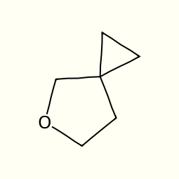 C1CC2(CC2)CO1